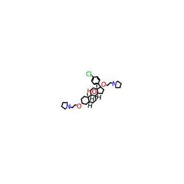 C[C@]12CC[C@H](OCCN3CCCC3)C[C@H]1CC[C@@H]1[C@@H]2CC[C@]2(C)[C@@](OCCN3CCCC3)(c3ccc(Cl)cc3)CC[C@]12O